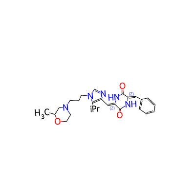 CC1CN(CCCn2cnc(/C=c3\[nH]c(=O)/c(=C/c4ccccc4)[nH]c3=O)c2C(C)C)CCO1